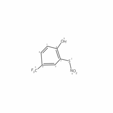 O=[N+]([O-])Sc1cc(C(F)(F)F)ccc1O